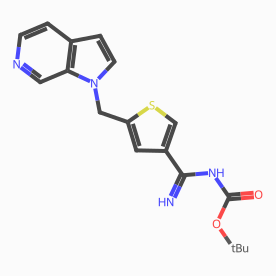 CC(C)(C)OC(=O)NC(=N)c1csc(Cn2ccc3ccncc32)c1